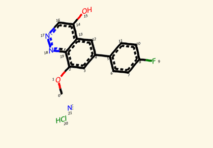 COc1cc(-c2ccc(F)cc2)cc2c(O)cnnc12.Cl.[N]